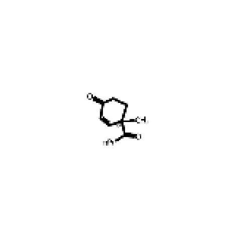 CCCC(=O)[C@]1(C)C=CC(=O)CC1